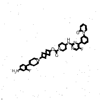 Nc1ccc(C2CCN(C3CC4(CC(OC(=O)N5CCC(Nc6ncc(F)c(-c7cccc(-n8ccccc8=O)c7)n6)CC5)C4)C3)CC2)c(F)c1